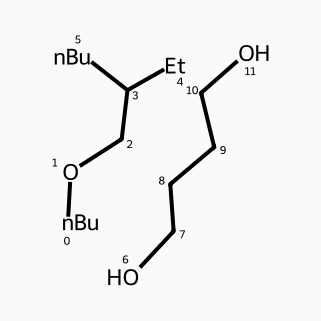 CCCCOCC(CC)CCCC.OCCCCO